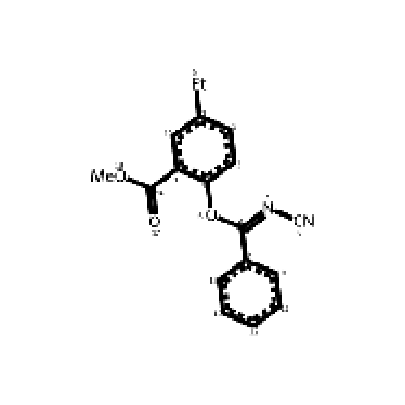 CCc1ccc(OC(=NC#N)c2ccccc2)c(C(=O)OC)c1